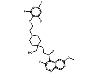 COc1ccc2ncc(F)c([C@H](F)CCC3(CO)CCN(CCOc4c(F)cc(F)cc4F)CC3)c2c1